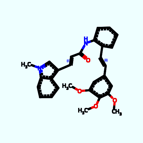 COc1cc(/C=C/c2ccccc2NC(=O)/C=C/c2cn(C)c3ccccc23)cc(OC)c1OC